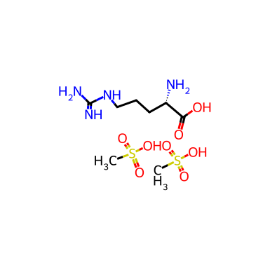 CS(=O)(=O)O.CS(=O)(=O)O.N=C(N)NCCC[C@H](N)C(=O)O